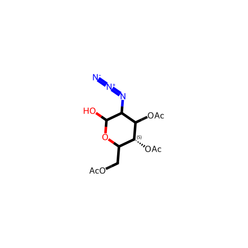 CC(=O)OCC1OC(O)C(N=[N+]=[N-])C(OC(C)=O)[C@@H]1OC(C)=O